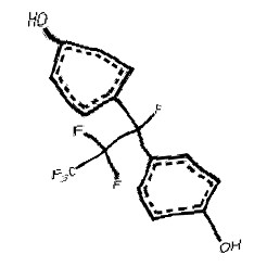 Oc1ccc(C(F)(c2ccc(O)cc2)C(F)(F)C(F)(F)F)cc1